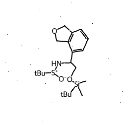 CC(C)(C)[S+]([O-])NC(CO[Si](C)(C)C(C)(C)C)c1cccc2c1COC2